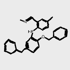 C/N=C/c1cc(C)ccc1Pc1cc(CC2C=CC=CC2)ccc1OCc1ccccc1